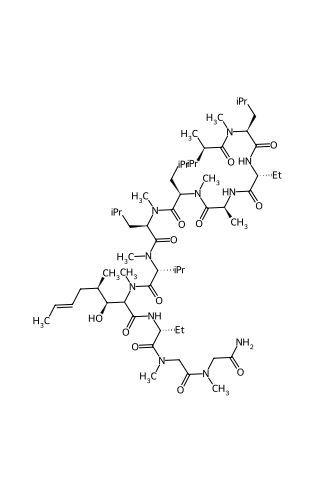 C/C=C/C[C@@H](C)[C@H](O)C(C(=O)N[C@H](CC)C(=O)N(C)CC(=O)N(C)CC(N)=O)N(C)C(=O)[C@@H](C(C)C)N(C)C(=O)[C@@H](CC(C)C)N(C)C(=O)[C@@H](CC(C)C)N(C)C(=O)[C@H](C)NC(=O)[C@@H](CC)NC(=O)[C@H](CC(C)C)N(C)C(=O)[C@H](C)C(C)C